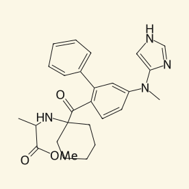 COC(=O)C(C)NC1(C(=O)c2ccc(N(C)c3c[nH]cn3)cc2-c2ccccc2)CCCCC1